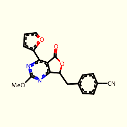 COc1nc(-c2ccco2)c2c(n1)C(Cc1ccc(C#N)cc1)OC2=O